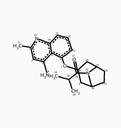 Cc1cc(N)c2c(OC3CC4CCC(C3)N4C(=O)C(C)C)cccc2n1